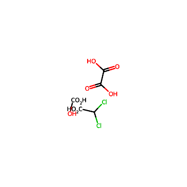 O=C(O)C(=O)O.O=C(O)C(Cl)Cl.O=C(O)O